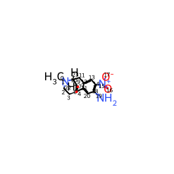 CN1CC[C@]23CCCC[C@H]2[C@H]1Cc1cc([N+](=O)[O-])c(N)cc13